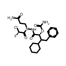 NC(=O)CCN(NC(=O)[C@@H](OC(N)=O)C(Cc1ccccc1)C1CCCCC1)C(=O)[C@@H](F)Cl